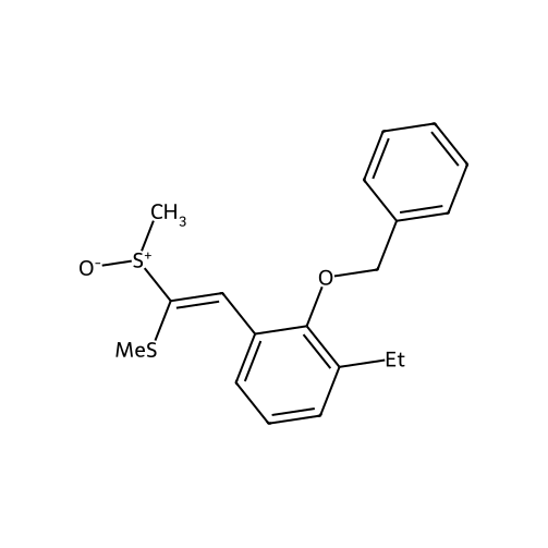 CCc1cccc(/C=C(\SC)[S+](C)[O-])c1OCc1ccccc1